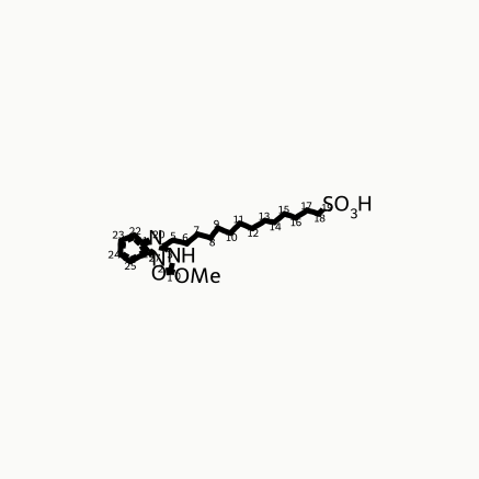 COC(=O)NC1(CCCCCCCCCCCCCCS(=O)(=O)O)N=c2ccccc2=N1